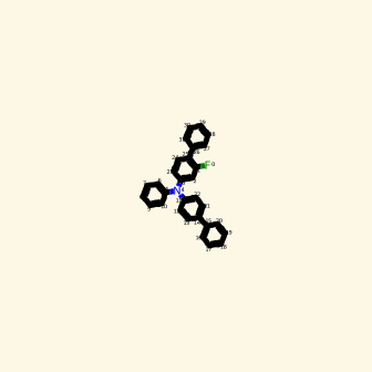 Fc1cc(N(c2ccccc2)c2ccc(-c3ccccc3)cc2)ccc1-c1ccccc1